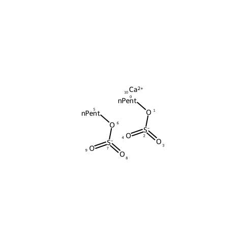 CCCCCO[S-](=O)=O.CCCCCO[S-](=O)=O.[Ca+2]